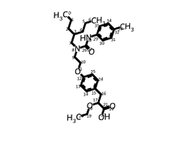 CCCC(CCC)CN(CCOc1ccc(CC(OCC)C(=O)O)cc1)C(=O)Nc1ccc(C)cc1